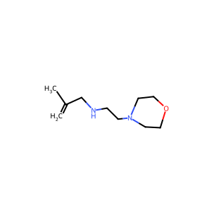 C=C(C)CNCCN1CCOCC1